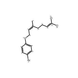 CC(=O)c1ccc(OCC=C(C)CCC=C(Cl)Cl)cc1